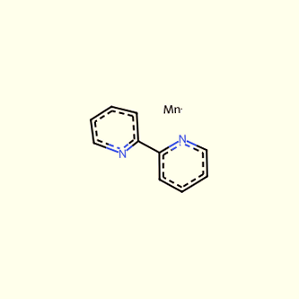 [Mn].c1ccc(-c2ccccn2)nc1